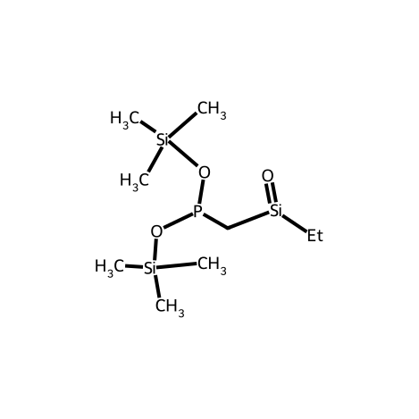 CC[Si](=O)CP(O[Si](C)(C)C)O[Si](C)(C)C